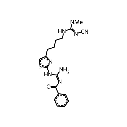 CNC(=NC#N)NCCCCc1csc(NC(N)=NC(=O)c2ccccc2)n1